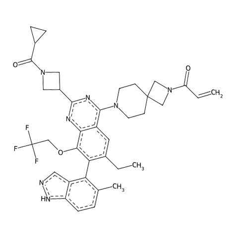 C=CC(=O)N1CC2(CCN(c3nc(C4CN(C(=O)C5CC5)C4)nc4c(OCC(F)(F)F)c(-c5c(C)ccc6[nH]ncc56)c(CC)cc34)CC2)C1